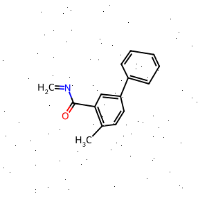 C=NC(=O)c1cc(-c2ccccc2)ccc1C